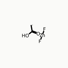 [CH2]C(=O)O.[F][Zn][F]